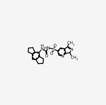 CC1=NC(C)c2ncc(S(=O)(=O)NC(=O)Nc3c4c(cc5c3CCC5)CCC4)cc21